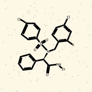 CCNC(=O)[C@@H](c1ccccc1)N(Cc1ccc(Cl)cc1F)S(=O)(=O)c1ccc(Cl)cc1